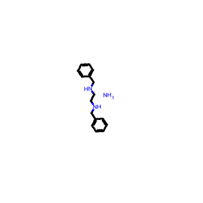 N.c1ccc(CNCCNCc2ccccc2)cc1